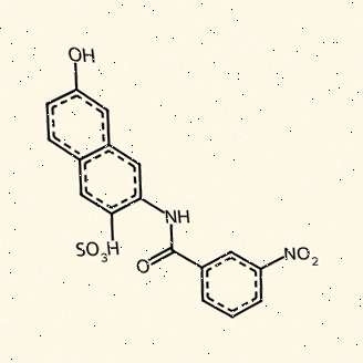 O=C(Nc1cc2cc(O)ccc2cc1S(=O)(=O)O)c1cccc([N+](=O)[O-])c1